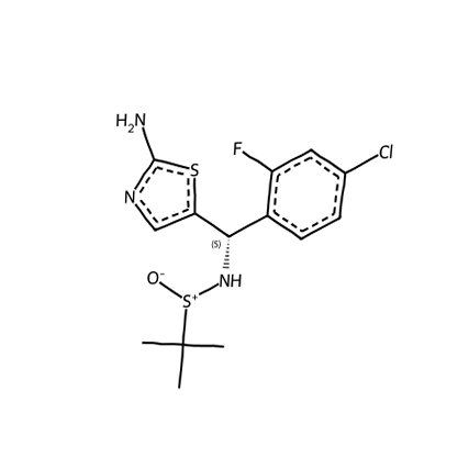 CC(C)(C)[S+]([O-])N[C@H](c1cnc(N)s1)c1ccc(Cl)cc1F